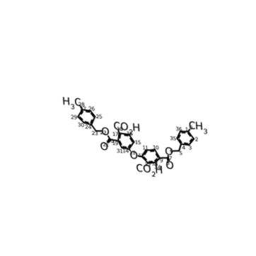 Cc1ccc(COC(=O)c2ccc(Oc3ccc(C(=O)O)c(C(=O)OCc4ccc(C)cc4)c3)cc2C(=O)O)cc1